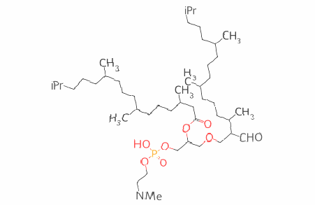 CNCCOP(=O)(O)OCC(COCC(C=O)C(C)CCCC(C)CCCC(C)CCCC(C)C)OC(=O)CC(C)CCCC(C)CCCC(C)CCCC(C)C